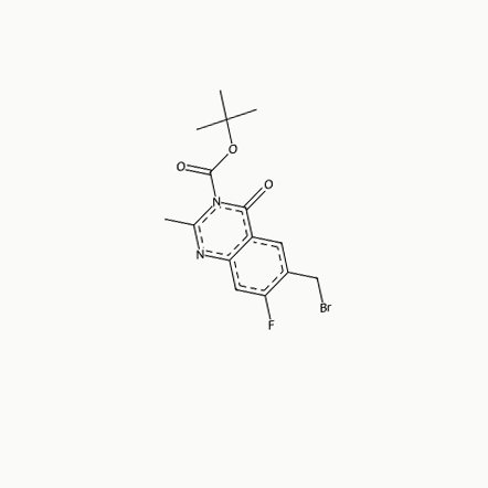 Cc1nc2cc(F)c(CBr)cc2c(=O)n1C(=O)OC(C)(C)C